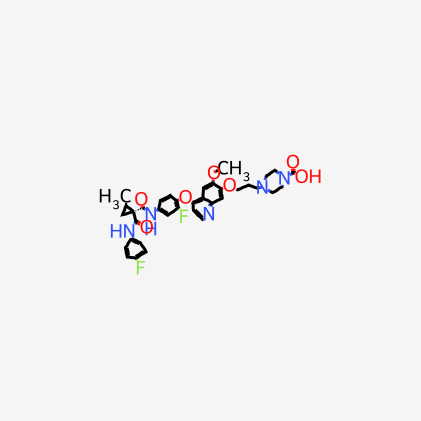 COc1cc2c(Oc3ccc(NC(=O)[C@]4(C(=O)Nc5ccc(F)cc5)C[C@H]4C)cc3F)ccnc2cc1OCCCN1CCN(C(=O)O)CC1